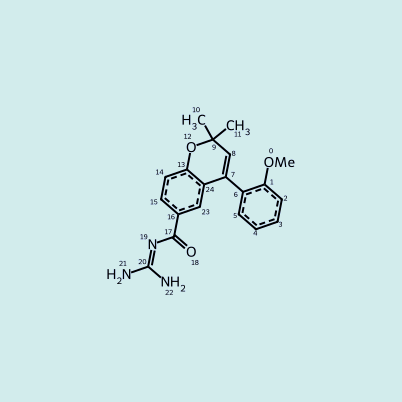 COc1ccccc1C1=CC(C)(C)Oc2ccc(C(=O)N=C(N)N)cc21